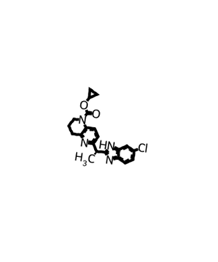 C[C@@H](c1ccc2c(n1)CCCN2C(=O)OC1CC1)c1nc2ccc(Cl)cc2[nH]1